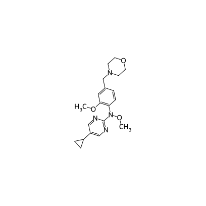 COc1cc(CN2CCOCC2)ccc1N(OC)c1ncc(C2CC2)cn1